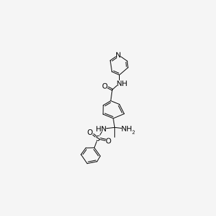 CC(N)(NS(=O)(=O)c1ccccc1)c1ccc(C(=O)Nc2ccncc2)cc1